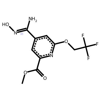 COC(=O)c1cc(/C(N)=N/O)cc(OCC(F)(F)F)n1